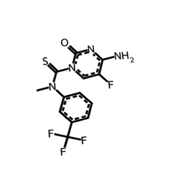 CN(C(=S)n1cc(F)c(N)nc1=O)c1cccc(C(F)(F)F)c1